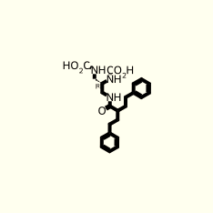 O=C(O)NC[C@@H](CNC(=O)C(CCc1ccccc1)CCc1ccccc1)NC(=O)O